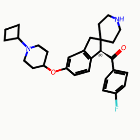 O=C(c1ccc(F)cc1)[C@H]1c2ccc(OC3CCN(C4CCC4)CC3)cc2CC12CCNCC2